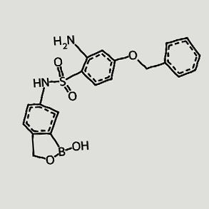 Nc1cc(OCc2ccccc2)ccc1S(=O)(=O)Nc1ccc2c(c1)B(O)OC2